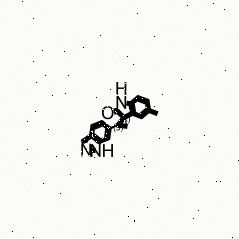 Cc1ccc2c(c1)[C@]1(C[C@H]1c1ccc3cn[nH]c3c1)C(=O)N2